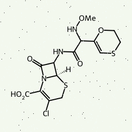 CONC(C(=O)NC1C(=O)N2C(C(=O)O)=C(Cl)CS[C@H]12)C1=CSCCO1